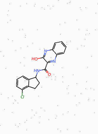 O=C(NC1CCc2c(Cl)cccc21)c1nc2ccccc2nc1O